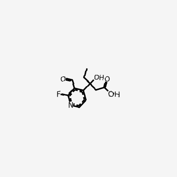 CCC(O)(CC(=O)O)c1ccnc(F)c1C=O